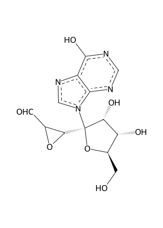 O=CC1OC1[C@@]1(n2cnc3c(O)ncnc32)O[C@H](CO)[C@@H](O)[C@H]1O